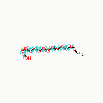 C=CCOCC(F)(F)OC(F)(F)C(F)(F)OC(F)(F)C(F)(F)OC(F)(F)C(F)(F)OC(F)(F)C(F)(F)OC(F)(F)C(F)(F)OC(F)(F)C(F)(F)OC(F)(F)C(F)(F)OC(F)(F)C(F)(F)OC(F)(F)C(F)(F)OC(F)(F)C(F)(F)OC(F)(F)OC(F)(F)OC(F)(F)CO